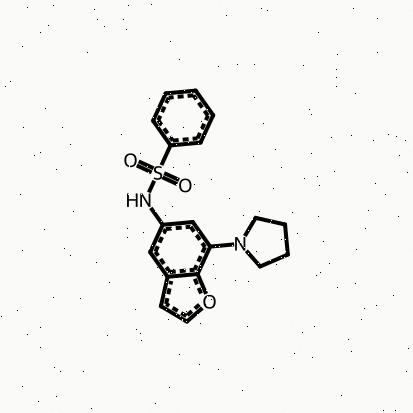 O=S(=O)(Nc1cc(N2CCCC2)c2occc2c1)c1ccccc1